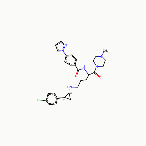 CN1CCN(C(=O)C(CCCN[C@@H]2C[C@H]2c2ccc(F)cc2)NC(=O)c2ccc(-n3cccn3)cc2)CC1